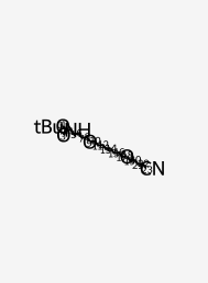 CC(C)(C)OC(=O)NCCCCOCCCCCCCCOCCCCC#N